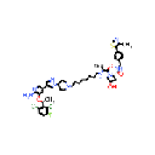 Cc1ncsc1-c1ccc(CNC(=O)[C@@H]2C[C@@H](O)CN2C(=O)[C@@H](NCCCCCCCCN2CCC(n3cc(-c4cnc(N)c(O[C@H](C)c5c(Cl)ccc(F)c5Cl)c4)cn3)CC2)C(C)(C)C)cc1